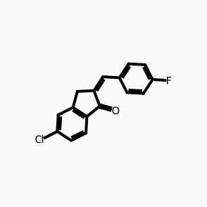 O=C1C(=Cc2ccc(F)cc2)Cc2cc(Cl)ccc21